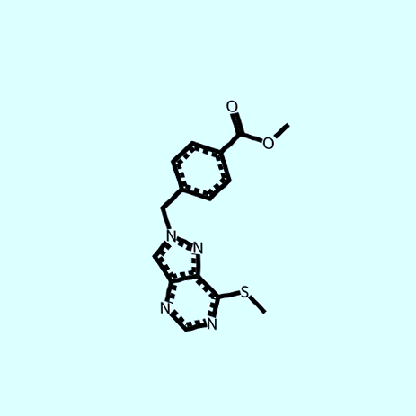 COC(=O)c1ccc(Cn2cc3ncnc(SC)c3n2)cc1